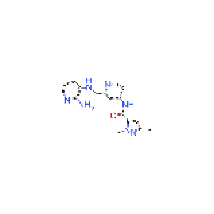 Cc1cc(C(=O)Nc2ccnc(CNc3cccnc3N)c2)n(C)n1